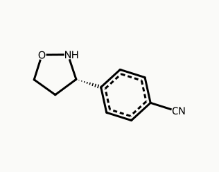 N#Cc1ccc([C@@H]2CCON2)cc1